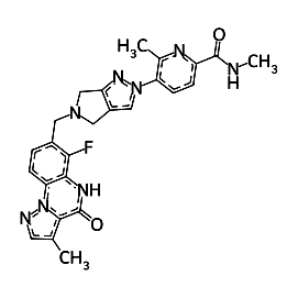 CNC(=O)c1ccc(-n2cc3c(n2)CN(Cc2ccc4c([nH]c(=O)c5c(C)cnn54)c2F)C3)c(C)n1